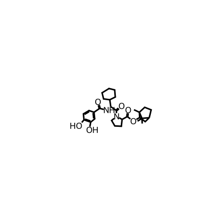 CC1(C)C2CCC1(C)C(OC(=O)C1CCCN1C(=O)C(NC(=O)c1ccc(O)c(O)c1)C1CCCCC1)C2